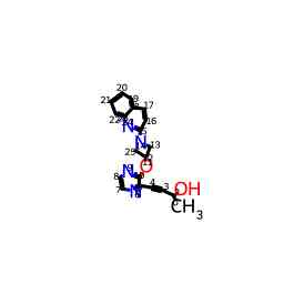 CC(O)C#Cc1nccnc1OC1CN(c2ccc3ccccc3n2)C1